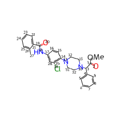 COC(=O)C(c1ccccc1)N1CCN(c2ccc(NC(=O)c3ccccc3C)cc2Cl)CC1